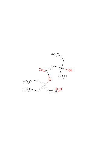 O.O=C(O)CC(O)(CC(=O)OC(CC(=O)O)(CC(=O)O)C(=O)O)C(=O)O